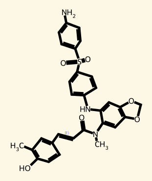 Cc1cc(/C=C/C(=O)N(C)c2cc3c(cc2Nc2ccc(S(=O)(=O)c4ccc(N)cc4)cc2)OCO3)ccc1O